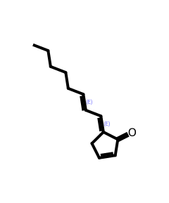 CCCCC/C=C/C=C1\CC=CC1=O